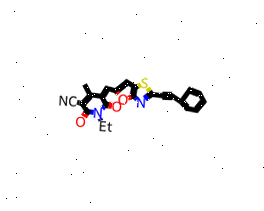 CCN1C(=O)C(C#N)=C(C)/C(=C/c2cc3sc(C#Cc4ccccc4)nc3o2)C1=O